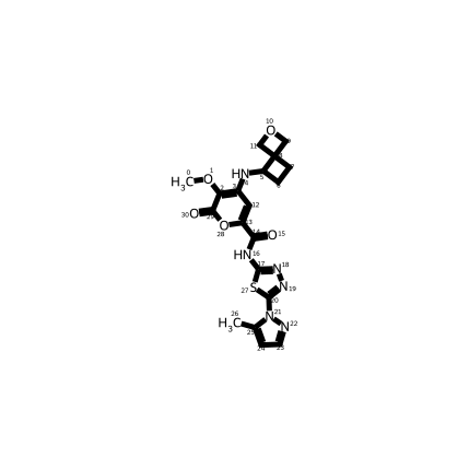 COc1c(NC2CCC23COC3)cc(C(=O)Nc2nnc(-n3nccc3C)s2)oc1=O